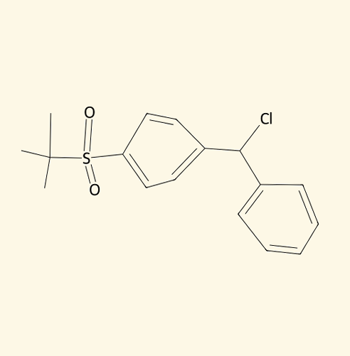 CC(C)(C)S(=O)(=O)c1ccc(C(Cl)c2ccccc2)cc1